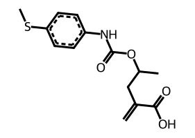 C=C(CC(C)OC(=O)Nc1ccc(SC)cc1)C(=O)O